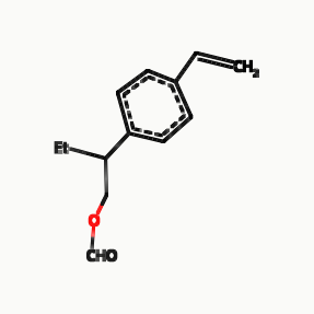 C=Cc1ccc(C(CC)COC=O)cc1